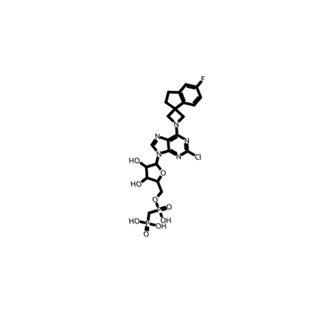 O=P(O)(O)CP(=O)(O)OCC1OC(n2cnc3c(N4CC5(CCc6cc(F)ccc65)C4)nc(Cl)nc32)C(O)C1O